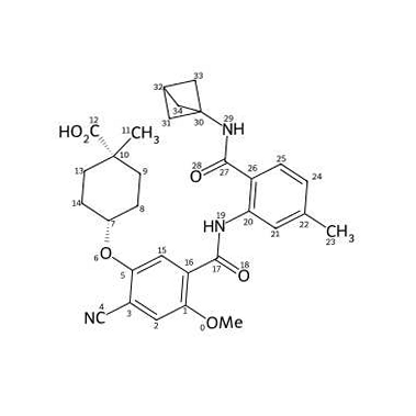 COc1cc(C#N)c(O[C@H]2CC[C@@](C)(C(=O)O)CC2)cc1C(=O)Nc1cc(C)ccc1C(=O)NC12CC(C1)C2